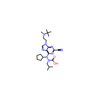 CC(C)CN(C(=O)O)N(c1nc(C#N)nc2c1ncn2CCN(C)C(C)(C)C)C1CCCC1